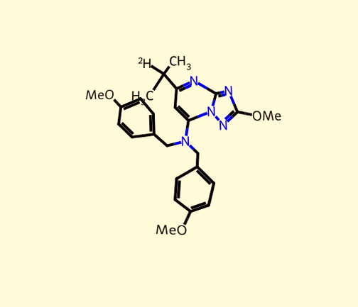 [2H]C(C)(C)c1cc(N(Cc2ccc(OC)cc2)Cc2ccc(OC)cc2)n2nc(OC)nc2n1